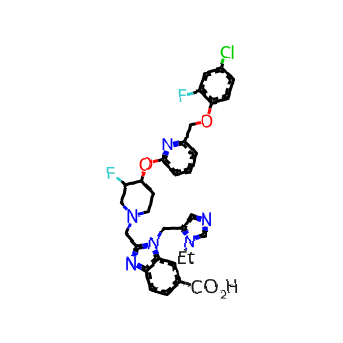 CCn1cncc1Cn1c(CN2CCC(Oc3cccc(COc4ccc(Cl)cc4F)n3)C(F)C2)nc2ccc(C(=O)O)cc21